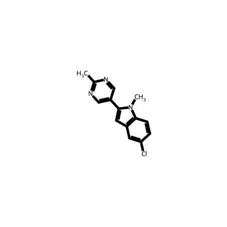 Cc1ncc(-c2cc3cc(Cl)ccc3n2C)cn1